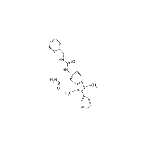 Cc1c(-c2ccccc2)n(C)c2ccc(NC(=O)NCc3ccccn3)cc12.NC=O